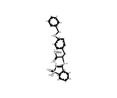 COC(=O)C(Cc1ccc(OCc2ccccc2)cc1)SC1=NS(=O)(=O)c2ccccc21